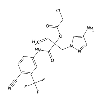 C=CC(Cn1cc(N)cn1)(OC(=O)CCl)C(=O)Nc1ccc(C#N)c(C(F)(F)F)c1